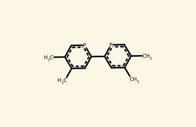 Cc1cpc(-c2cc(C)c(C)cp2)cc1C